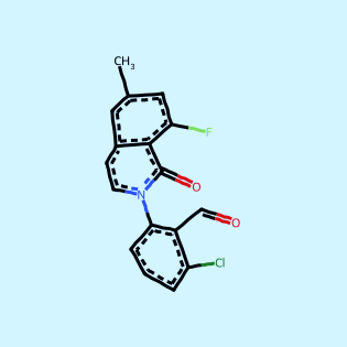 Cc1cc(F)c2c(=O)n(-c3cccc(Cl)c3C=O)ccc2c1